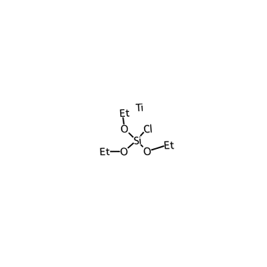 CCO[Si](Cl)(OCC)OCC.[Ti]